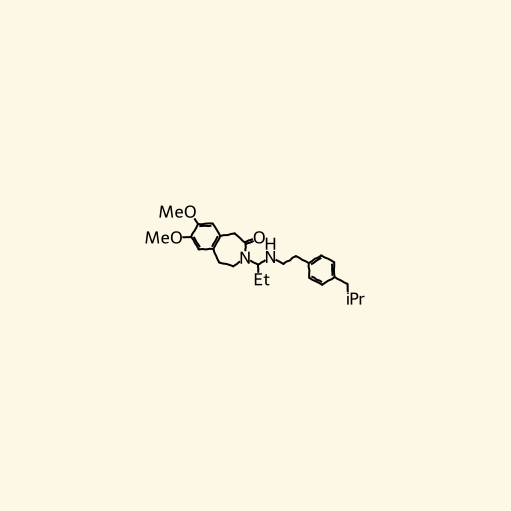 CCC(NCCc1ccc(CC(C)C)cc1)N1CCc2cc(OC)c(OC)cc2CC1=O